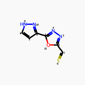 S=Cc1nnc(-c2cc[nH]n2)o1